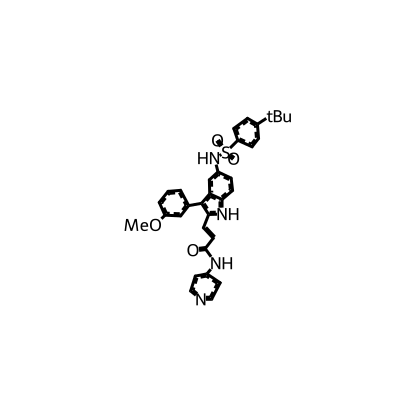 COc1cccc(-c2c(C=CC(=O)Nc3ccncc3)[nH]c3ccc(NS(=O)(=O)c4ccc(C(C)(C)C)cc4)cc23)c1